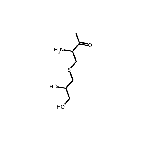 CC(=O)C(N)CSCC(O)CO